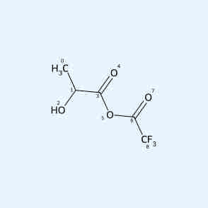 CC(O)C(=O)OC(=O)C(F)(F)F